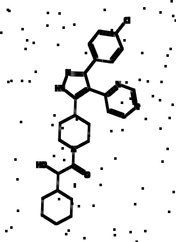 O=C(C(O)C1CCCCC1)N1CCC(c2[nH]nc(-c3ccc(Cl)cc3)c2-c2ccncn2)CC1